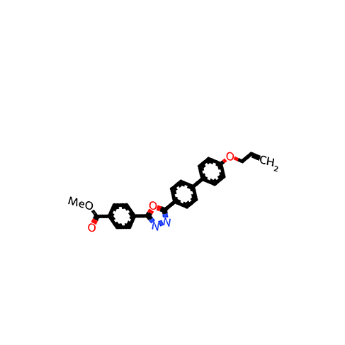 C=CCOc1ccc(-c2ccc(-c3nnc(-c4ccc(C(=O)OC)cc4)o3)cc2)cc1